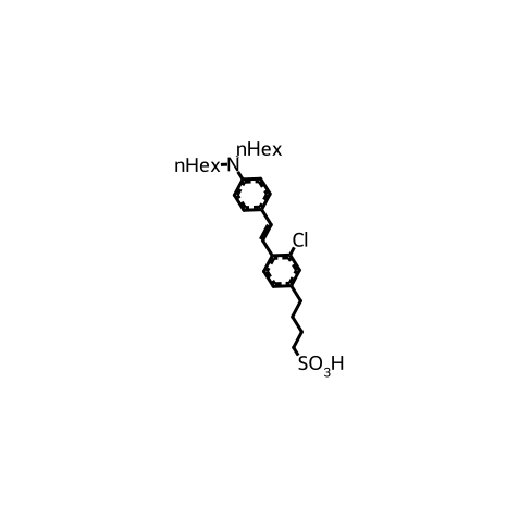 CCCCCCN(CCCCCC)c1ccc(/C=C/c2ccc(CCCCS(=O)(=O)O)cc2Cl)cc1